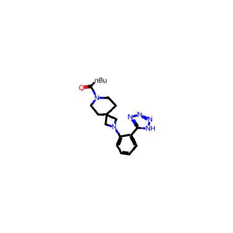 CCCCC(=O)N1CCC2(CC1)CN(c1ccccc1-c1nnn[nH]1)C2